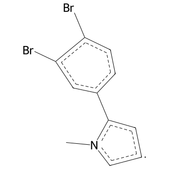 Cn1c[c]cc1-c1ccc(Br)c(Br)c1